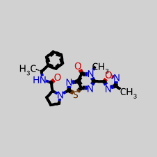 Cc1noc(-c2nc3sc(N4CCCC4C(=O)N[C@H](C)c4ccccc4)nc3c(=O)n2C)n1